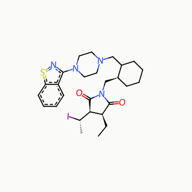 CC[C@@H]1C(=O)N(C[C@@H]2CCCCC2CN2CCN(c3nsc4ccccc34)CC2)C(=O)[C@@H]1[C@H](C)I